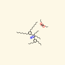 CCCCCCCCc1cc(CCCCCCCC)cc(C2=C(CCCC)C(CCCC)=C(c3cc(CCCC)cc(CCCC)c3)[N+]2=[N-])c1.CCC[O][Ni][O]CCC